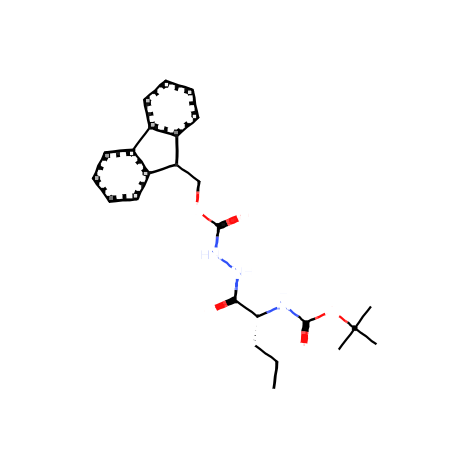 CCC[C@@H](NC(=O)OC(C)(C)C)C(=O)NNC(=O)OCC1c2ccccc2-c2ccccc21